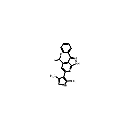 Cc1n[nH]c(C)c1-c1cc(C(F)F)c2c(-c3ccccc3)n[nH]c2n1